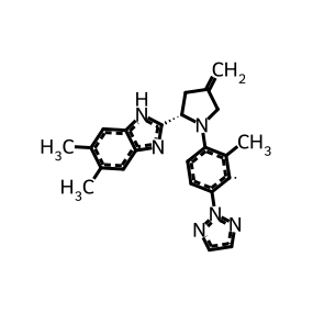 C=C1C[C@@H](c2nc3cc(C)c(C)cc3[nH]2)N(c2ccc(-n3nccn3)[c]c2C)C1